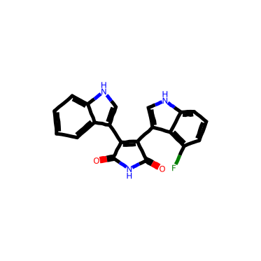 O=C1NC(=O)C(c2c[nH]c3cccc(F)c23)=C1c1c[nH]c2ccccc12